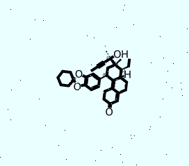 CC#C[C@@](C)(O)[C@@]1(C)C[C@H](c2ccc3c(c2)OC2(CCCCC2)O3)C2=C3CCC(=O)C=C3CC[C@H]2[C@@H]1CC